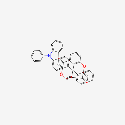 c1ccc(-c2cccc3c2C2(c4ccccc4O3)c3ccccc3Oc3cccc(-c4cccc5c4c4ccccc4n5-c4ccccc4)c32)cc1